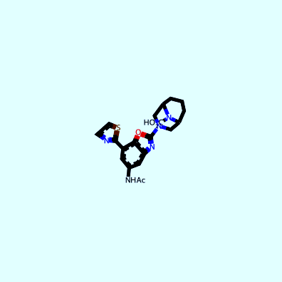 CC(=O)Nc1cc(-c2nccs2)c2oc(N3CC4CCCC(C3)N4C(=O)O)nc2c1